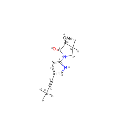 CO[C@@H]1C(=O)N(c2ccc(C#C[Si](C)(C)C)cn2)CC1(C)C